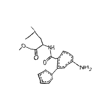 COC(=O)C(CC(C)C)NC(=O)c1ccc(N)cc1-c1ccccc1